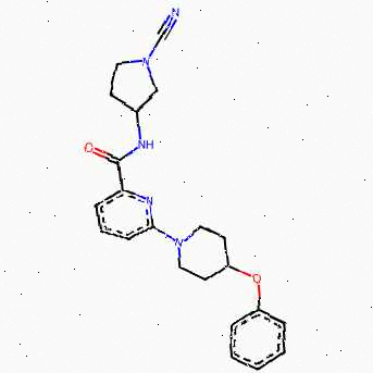 N#CN1CCC(NC(=O)c2cccc(N3CCC(Oc4ccccc4)CC3)n2)C1